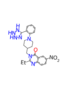 CCc1nc2ccc([N+](=O)[O-])cc2c(=O)n1CC1CCN(c2ccccc2C2=NNNN2)CC1